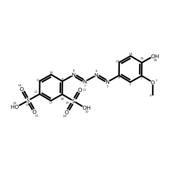 COc1cc(N=NN=Nc2ccc(S(=O)(=O)O)cc2S(=O)(=O)O)ccc1O